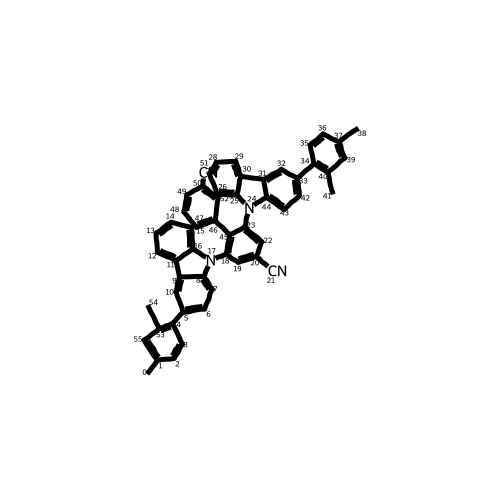 Cc1ccc(-c2ccc3c(c2)c2ccccc2n3-c2cc(C#N)cc(-n3c4ccccc4c4cc(-c5ccc(C)cc5C)ccc43)c2-c2cccc(C#N)c2)c(C)c1